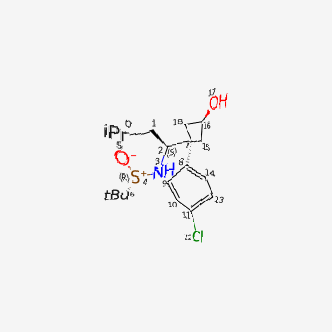 CC(C)C[C@H](N[S@@+]([O-])C(C)(C)C)[C@]1(c2ccc(Cl)cc2)C[C@H](O)C1